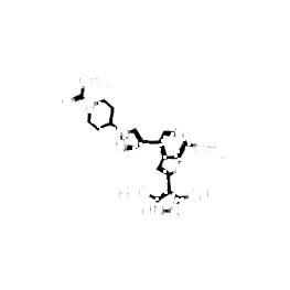 CC(=O)N1CCC(n2cc(-c3cnc(N)c4oc(-c5c(C)n[nH]c5C)cc34)cn2)CC1